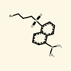 CCC(C)CCCS(=O)(=O)c1cccc2c(N(C)C)cccc12